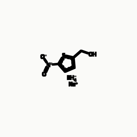 O=[N+]([O-])c1ccc(CO)s1.[BH4-].[Na+]